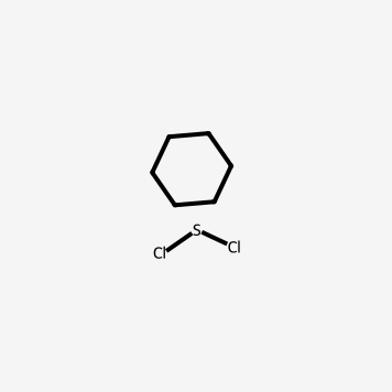 C1CCCCC1.ClSCl